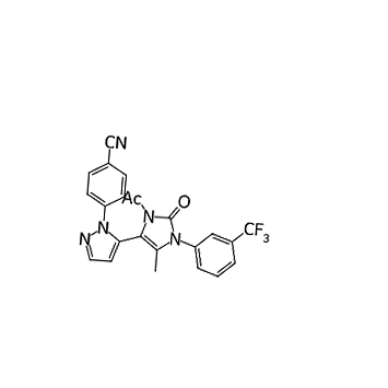 CC(=O)n1c(-c2ccnn2-c2ccc(C#N)cc2)c(C)n(-c2cccc(C(F)(F)F)c2)c1=O